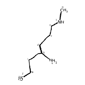 CNCCCC(N)CCS